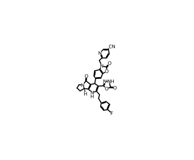 N#Cc1ccc(Cn2c(=O)oc3cc(C4C5=C(NC(CCc6ccc(F)cc6)=C4c4n[nH]c(=O)o4)[C@@H]4CCCN4C5=O)ccc32)nc1